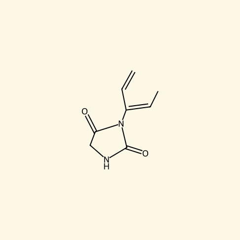 C=C/C(=C\C)N1C(=O)CNC1=O